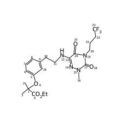 CCOC(=O)C(C)(C)Oc1cccc(CCNc2nn(C)c(=O)n(CCCC(F)(F)F)c2=O)c1